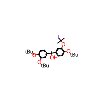 CC(C)(C)Oc1ccc(C(O)(I)c2ccc(OC(C)(C)C)c(OC(C)(C)I)c2)cc1OC(C)(C)C